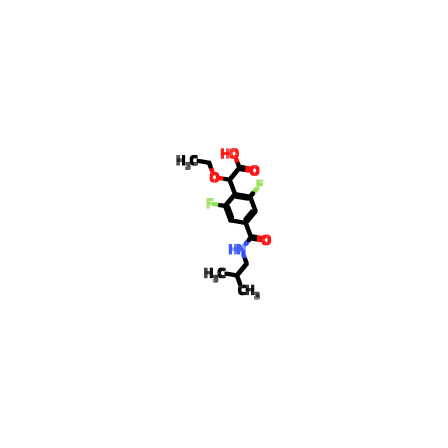 CCOC(C(=O)O)c1c(F)cc(C(=O)NCC(C)C)cc1F